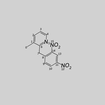 Cc1cccnc1Cc1ccc([N+](=O)[O-])cc1[N+](=O)[O-]